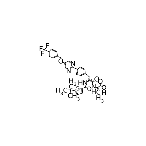 C[C@@H](NC(=O)[C@H](Cc1ccc(-c2ncc(OCc3ccc(C(F)(F)F)cc3)cn2)cc1)NC(=O)c1ccc(C(C)(C)C)s1)C(=O)O